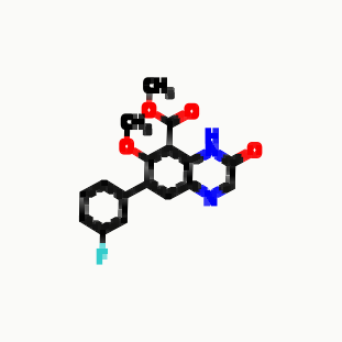 COC(=O)c1c(OC)c(-c2cccc(F)c2)cc2ncc(=O)[nH]c12